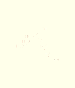 O.O.O.O.O.O=C(O)O.[KH]